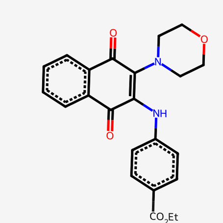 CCOC(=O)c1ccc(NC2=C(N3CCOCC3)C(=O)c3ccccc3C2=O)cc1